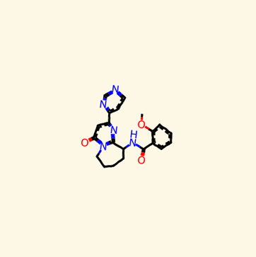 COc1ccccc1C(=O)NC1CCCCn2c1nc(-c1ccncn1)cc2=O